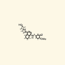 COc1ccc(CNc2nnc(N3CCC4(CC(O)C4)C3)c3ccccc23)cc1Cl